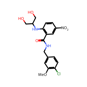 COc1cc(CNC(=O)c2cc([N+](=O)[O-])ccc2NC(CO)CO)ccc1Cl